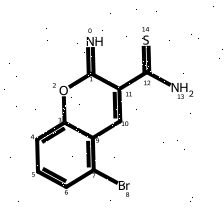 N=c1oc2cccc(Br)c2cc1C(N)=S